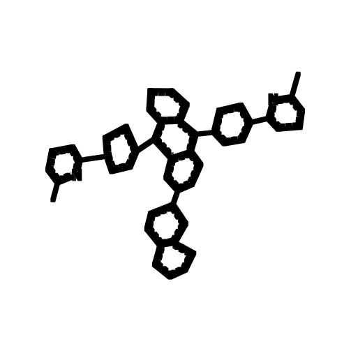 Cc1cccc(-c2ccc(-c3c4ccccc4c(-c4ccc(-c5cccc(C)n5)cc4)c4cc(-c5ccc6ccccc6c5)ccc34)cc2)n1